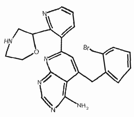 Nc1ncnc2nc(-c3cccnc3C3CNCCO3)cc(Cc3ccccc3Br)c12